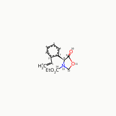 C=Cc1ccccc1[C@H]1C(=O)OCN1C(=O)OCC